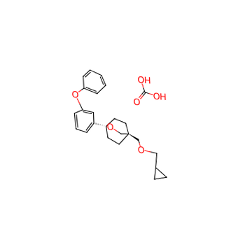 O=C(O)O.c1ccc(Oc2cccc([C@]34CC[C@@](COCC5CC5)(CC3)CO4)c2)cc1